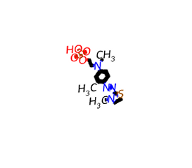 CCN(CCOS(=O)(=O)O)c1ccc(N=Nc2scc[n+]2C)c(C)c1